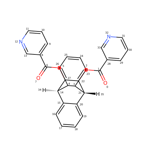 O=C(OC1C(OC(=O)c2cccnc2)[C@H]2c3ccccc3[C@H]1c1ccccc12)c1cccnc1